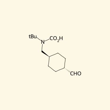 CC(C)(C)N(C[C@H]1CC[C@H](C=O)CC1)C(=O)O